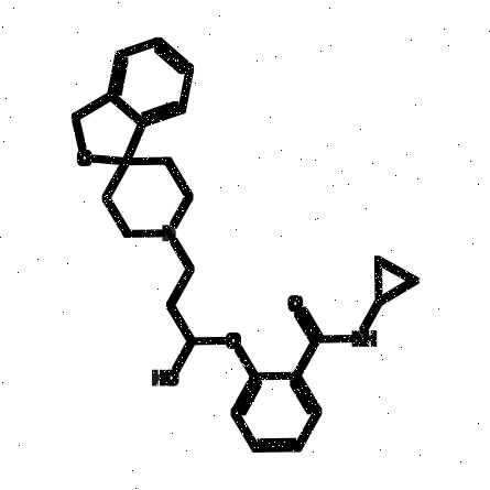 O=C(NC1CC1)c1ccccc1OC(O)CCN1CCC2(CC1)OCc1ccccc12